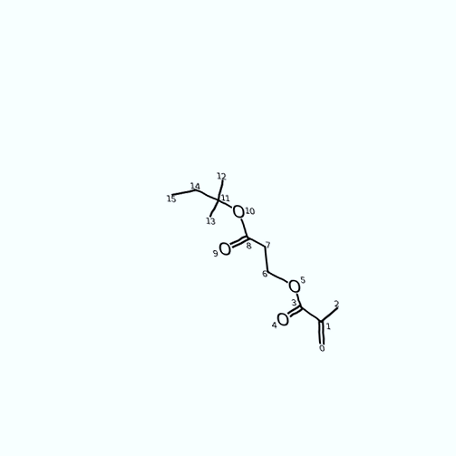 C=C(C)C(=O)OCCC(=O)OC(C)(C)CC